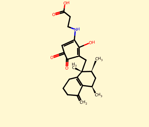 C=C1CCCC2=C1[C@H](C)C[C@H](C)[C@@]2(C)CC1=C(O)C(NCCC(=O)O)=CC(=O)C1=O